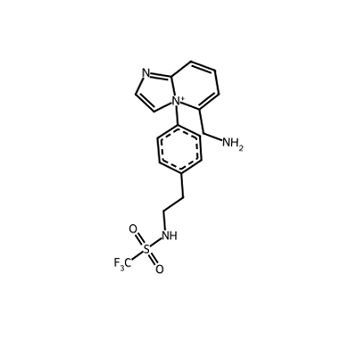 NCC1=CC=CC2=NC=C[N+]12c1ccc(CCNS(=O)(=O)C(F)(F)F)cc1